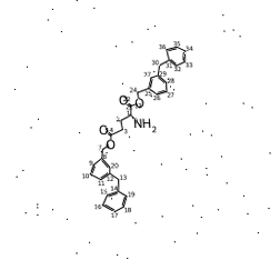 N[C@@H](CCC(=O)OCc1cccc(Cc2ccccc2)c1)C(=O)OCc1cccc(Cc2ccccc2)c1